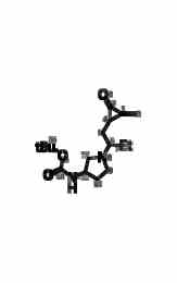 C=C1C(=O)C1CC(CC)N1CCC(NC(=O)OC(C)(C)C)C1